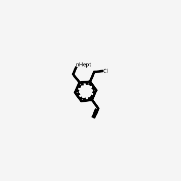 C=Cc1ccc(CCCCCCCC)c(CCl)c1